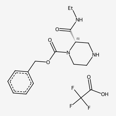 CCNC(=O)[C@@H]1CNCCN1C(=O)OCc1ccccc1.O=C(O)C(F)(F)F